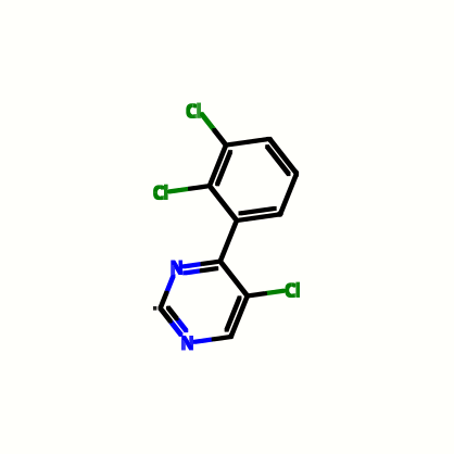 Clc1cn[c]nc1-c1cccc(Cl)c1Cl